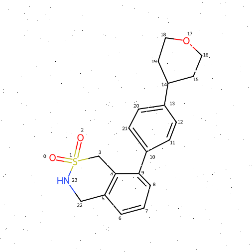 O=S1(=O)Cc2c(cccc2-c2ccc(C3CCOCC3)cc2)CN1